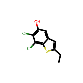 CCc1cc2cc(O)c(Cl)c(Cl)c2s1